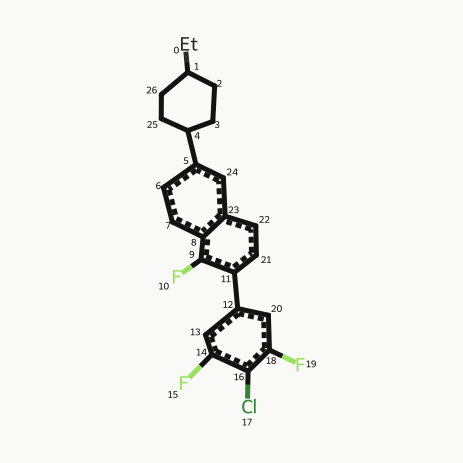 CCC1CCC(c2ccc3c(F)c(-c4cc(F)c(Cl)c(F)c4)ccc3c2)CC1